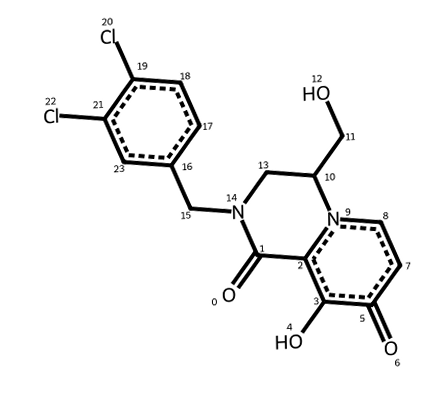 O=C1c2c(O)c(=O)ccn2C(CO)CN1Cc1ccc(Cl)c(Cl)c1